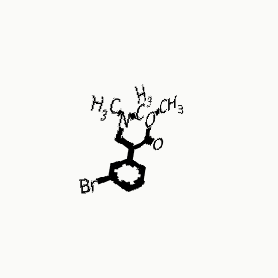 COC(=O)/C(=C\N(C)C)c1cccc(Br)c1